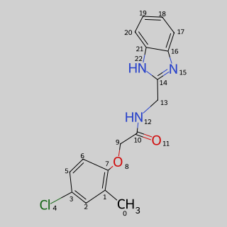 Cc1cc(Cl)ccc1OCC(=O)NCc1nc2ccccc2[nH]1